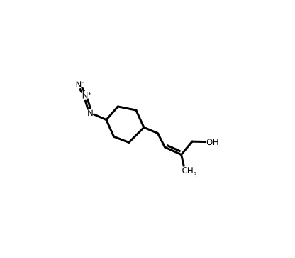 CC(=CCC1CCC(N=[N+]=[N-])CC1)CO